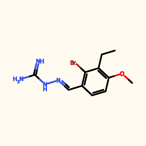 CCc1c(OC)ccc(C=NNC(=N)N)c1Br